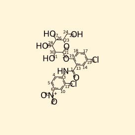 O=C(Nc1ccc([N+](=O)[O-])cc1Cl)c1cc(Cl)ccc1OC1OC(CO)C(O)C(O)C1O